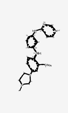 COc1cc(N2CCN(C)CC2)ccc1Nc1cc(Nc2ccncn2)ccn1